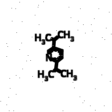 CC(C)c1ccc(C(C)C)nc1